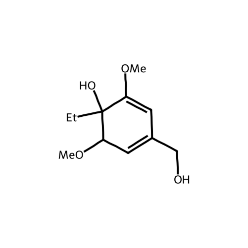 CCC1(O)C(OC)=CC(CO)=CC1OC